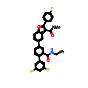 CNC(=O)c1c(-c2ccc(F)cc2)oc2ccc(-c3ccc(-c4cc(F)cc(F)c4)c(C(=O)NCC(C)C)c3)cc12